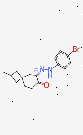 CC1CC2(CCC(=O)/C(=N\Nc3ccc(Br)cc3)C2)C1